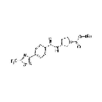 CC(C)(C)OC(=O)N1CCC(NC(=O)c2ccc(-c3noc(C(F)(F)F)n3)cc2)C1